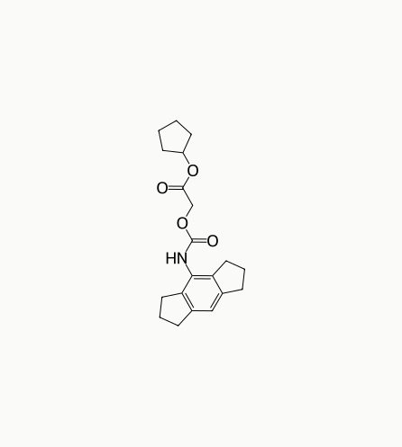 O=C(COC(=O)Nc1c2c(cc3c1CCC3)CCC2)OC1CCCC1